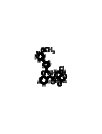 COc1cc(-c2ccc(C(=O)NC(C(=O)N3C[C@H](Cl)[C@H]4OCC(=O)[C@H]43)C3CCCCC3)s2)cnn1